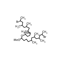 COC(CCCC(C)CC(C)CC(C)CC(C)Br)OC(CCCC(C)CC(C)CC(C)CC(C)Br)OC